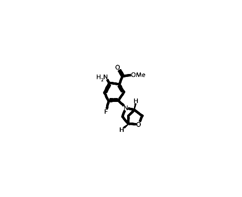 COC(=O)c1cc(N2C[C@@H]3C[C@H]2CO3)c(F)cc1N